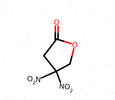 O=C1CC([N+](=O)[O-])([N+](=O)[O-])CO1